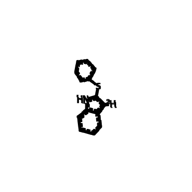 [2H]c1c(Sc2ccccc2)[nH]c2ccccc12